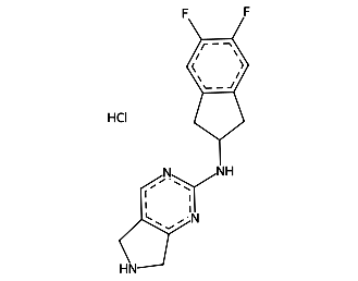 Cl.Fc1cc2c(cc1F)CC(Nc1ncc3c(n1)CNC3)C2